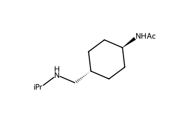 CC(=O)N[C@H]1CC[C@H](CNC(C)C)CC1